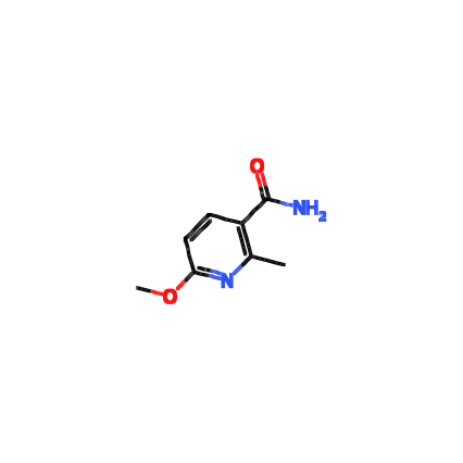 COc1ccc(C(N)=O)c(C)n1